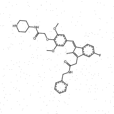 COc1cc(C=C2C(C)=C(CC(=O)NCc3ccccn3)c3cc(F)ccc32)cc(OC)c1OCC(=O)NC1CCNCC1